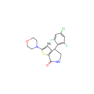 [C-]#[N+]c1c(N2CCOCC2)sc2c1C(c1c(F)cc(Cl)cc1F)CCNC2=O